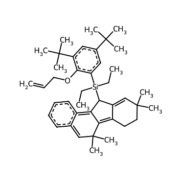 C=CCOc1c(C(C)(C)C)cc(C(C)(C)C)cc1[Si](CC)(CC)C1C2=CC(C)(C)CCC2=C2C1=c1ccccc1=CC2(C)C